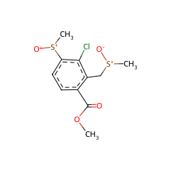 COC(=O)c1ccc([S+](C)[O-])c(Cl)c1C[S+](C)[O-]